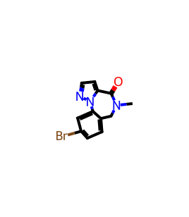 CN1Cc2ccc(Br)cc2-n2nccc2C1=O